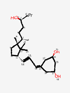 CC(C)[C@H](O)CC[C@H](C)[C@@]1(C)CC[C@@H](/C=C/C=C2C[C@@H](O)C[C@H](O)C2)C1(C)C